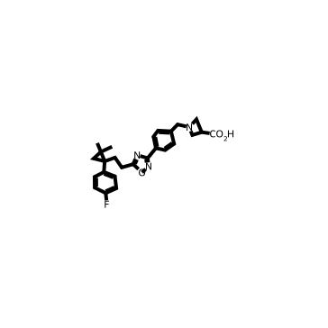 CC1(C)CC1(CCc1nc(-c2ccc(CN3CC(C(=O)O)C3)cc2)no1)c1ccc(F)cc1